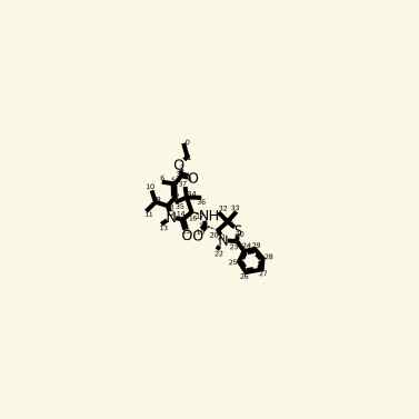 CCOC(=O)/C(C)=C/C(C(C)C)N(C)C(=O)[C@@H](NC(=O)[C@H]1N(C)C(c2ccccc2)SC1(C)C)C(C)(C)C